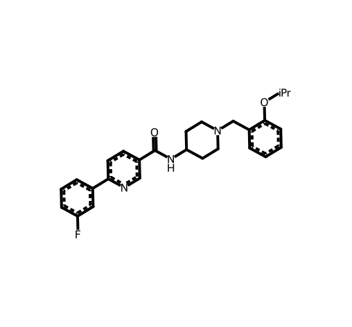 CC(C)Oc1ccccc1CN1CCC(NC(=O)c2ccc(-c3cccc(F)c3)nc2)CC1